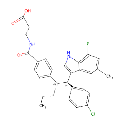 CCC[C@H](c1ccc(C(=O)NCCC(=O)O)cc1)[C@H](c1ccc(Cl)cc1)c1c[nH]c2c(F)cc(C)cc12